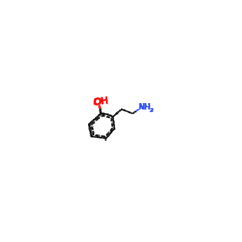 NCCc1c[c]ccc1O